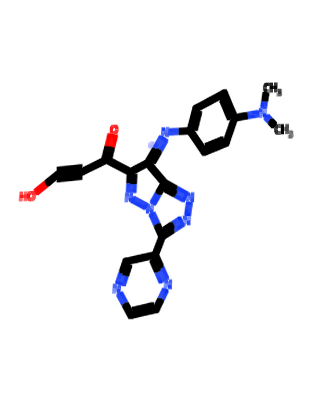 CN(C)c1ccc(/N=C2/C(C(=O)C#CO)=Nn3c2nnc3-c2cnccn2)cc1